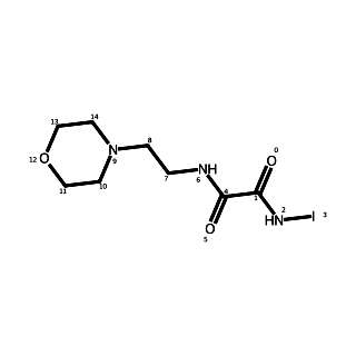 O=C(NI)C(=O)NCCN1CCOCC1